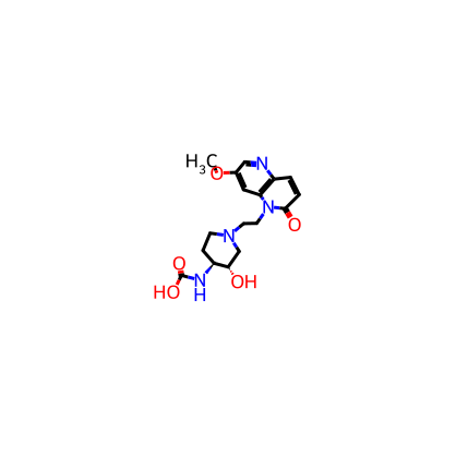 COc1cnc2ccc(=O)n(CCN3CC[C@H](NC(=O)O)[C@@H](O)C3)c2c1